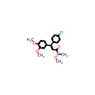 COc1ccc(C(=CC(=O)N(C)OC)c2ccc(Cl)cc2)cc1OC